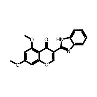 COc1cc(OC)c2c(=O)c(-c3nc4ccccc4[nH]3)coc2c1